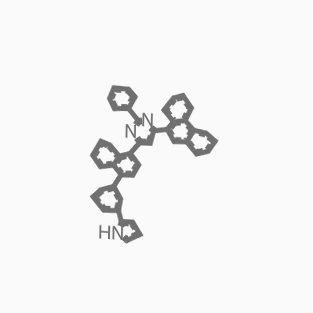 c1ccc(-c2nc(-c3ccc(-c4cccc(-c5ccc[nH]5)c4)c4ccccc34)cc(-c3cc4ccccc4c4ccccc34)n2)cc1